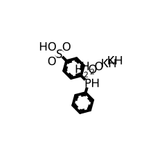 O.O.O=S(=O)(O)c1ccc(Pc2ccccc2)cc1.[KH].[KH]